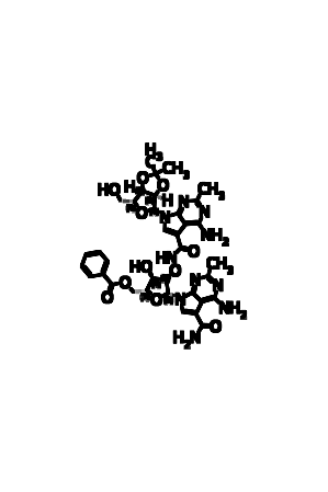 Cc1nc(N)c2c(C(N)=O)cn([C@@H]3O[C@H](COC(=O)c4ccccc4)[C@@H](O)[C@H]3ONC(=O)c3cn([C@@H]4O[C@H](CO)[C@H]5OC(C)(C)O[C@H]54)c4nc(C)nc(N)c34)c2n1